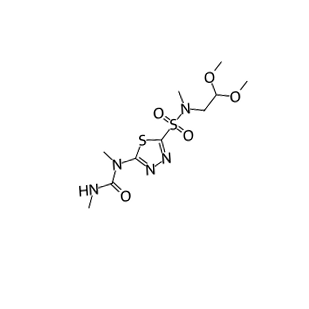 CNC(=O)N(C)c1nnc(S(=O)(=O)N(C)CC(OC)OC)s1